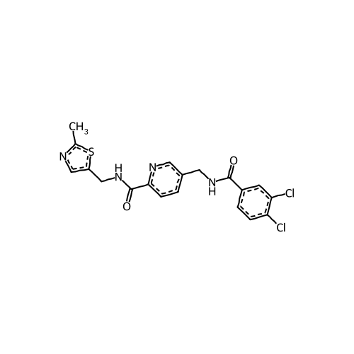 Cc1ncc(CNC(=O)c2ccc(CNC(=O)c3ccc(Cl)c(Cl)c3)cn2)s1